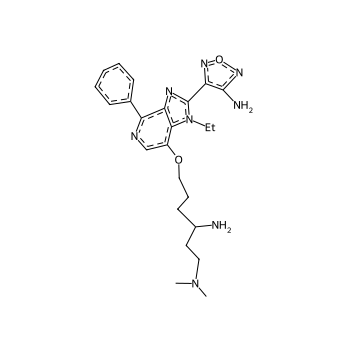 CCn1c(-c2nonc2N)nc2c(-c3ccccc3)ncc(OCCCC(N)CCN(C)C)c21